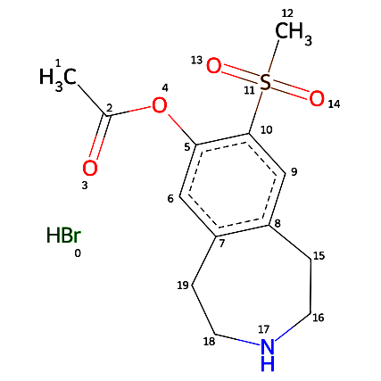 Br.CC(=O)Oc1cc2c(cc1S(C)(=O)=O)CCNCC2